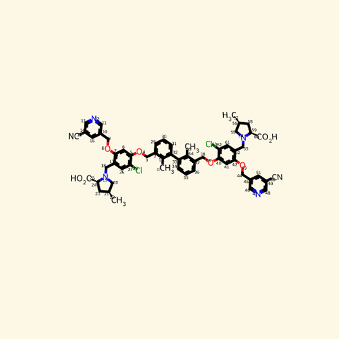 Cc1c(COc2cc(OCc3cncc(C#N)c3)c(CN3C[C@@H](C)C[C@H]3C(=O)O)cc2Cl)cccc1-c1cccc(COc2cc(OCc3cncc(C#N)c3)c(CN3C[C@@H](C)C[C@H]3C(=O)O)cc2Cl)c1C